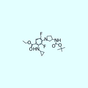 CCOC(=O)c1cc(F)c(N2CCC(NC(=O)OC(C)(C)C)C2)c(F)c1NC1CC1